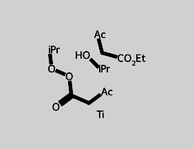 CC(=O)CC(=O)OOC(C)C.CC(C)O.CCOC(=O)CC(C)=O.[Ti]